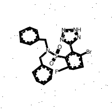 O=S(=O)(c1c(F)ccc(Br)c1-c1nn[nH]n1)N(Cc1ccccc1)Cc1ccccc1